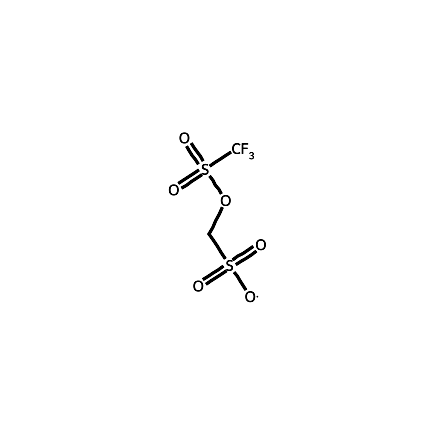 [O]S(=O)(=O)COS(=O)(=O)C(F)(F)F